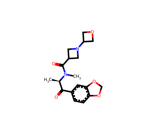 C[C@H](C(=O)c1ccc2c(c1)OCO2)N(C)C(=O)C1CN(C2COC2)C1